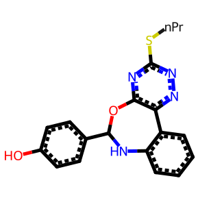 CCCSc1nnc2c(n1)OC(c1ccc(O)cc1)Nc1ccccc1-2